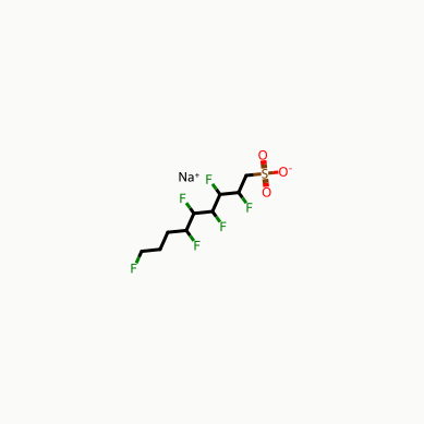 O=S(=O)([O-])CC(F)C(F)C(F)C(F)C(F)CCCF.[Na+]